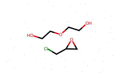 ClCC1CO1.OCCOCCO